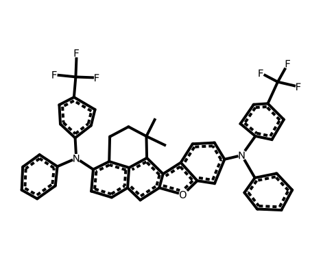 CC1(C)CCc2c(N(c3ccccc3)c3ccc(C(F)(F)F)cc3)ccc3cc4oc5cc(N(c6ccccc6)c6ccc(C(F)(F)F)cc6)ccc5c4c1c23